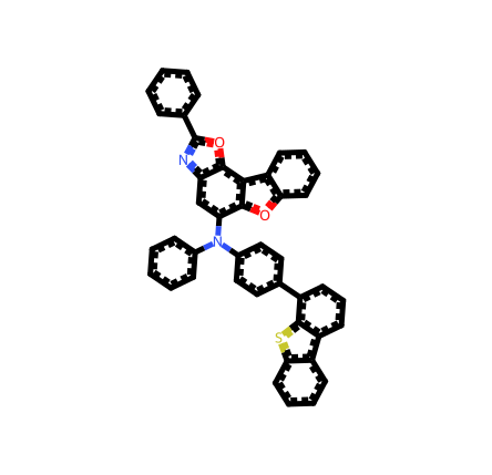 c1ccc(-c2nc3cc(N(c4ccccc4)c4ccc(-c5cccc6c5sc5ccccc56)cc4)c4oc5ccccc5c4c3o2)cc1